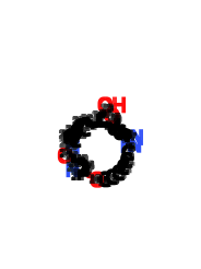 Cc1c2ccc3c1nnn3CCCCCCOc1ccc(nc1)C(=O)N1CCc3ccc(cc3C1)C2CC(=O)O